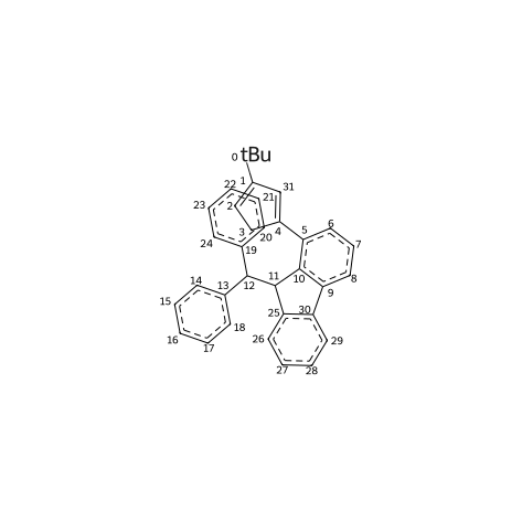 CC(C)(C)C1=CCC(c2cccc3c2C(C(c2ccccc2)c2ccccc2)c2ccccc2-3)=C1